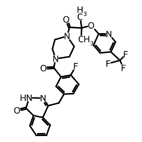 CC(C)(Oc1ccc(C(F)(F)F)cn1)C(=O)N1CCN(C(=O)c2cc(Cc3n[nH]c(=O)c4ccccc34)ccc2F)CC1